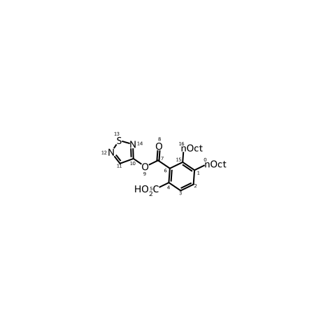 CCCCCCCCc1ccc(C(=O)O)c(C(=O)Oc2cnsn2)c1CCCCCCCC